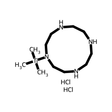 Cl.Cl.[CH3][Ti]([CH3])([CH3])[N]1CCNCCNCCNCC1